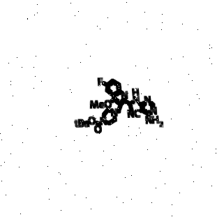 COc1c(CN2CCN(C(=O)OC(C)(C)C)CC2)c(C(C)Nc2ncnc(N)c2C#N)nc2ccc(F)cc12